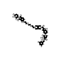 O=C1CCC(N2C(=O)c3ccc(NCCOCCOCCN4CCC5(CC4)CCN(C(=O)c4cc6cc(N7CC[C@](O)(C(=O)NCc8cc(F)cc(F)c8)C7=O)ccc6[nH]4)CC5)cc3C2=O)C(=O)N1